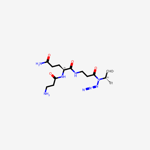 CC[C@@H]([C]=O)N(N=[N+]=[N-])C(=O)CCNC(=O)[C@H](CCC(N)=O)NC(=O)CCN